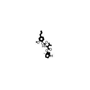 C=CCc1ccc(OC(=O)NC(C(=O)O[C@@H]2C[C@@H]3CC[C@]2(C)C3(C)C)C(C)C)c(OC)c1